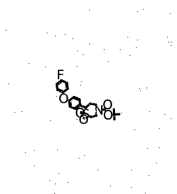 CC(C)(C)OC(=O)N1CCC(c2ccc(Oc3ccc(F)cc3)cc2)S(=O)(=O)CC1